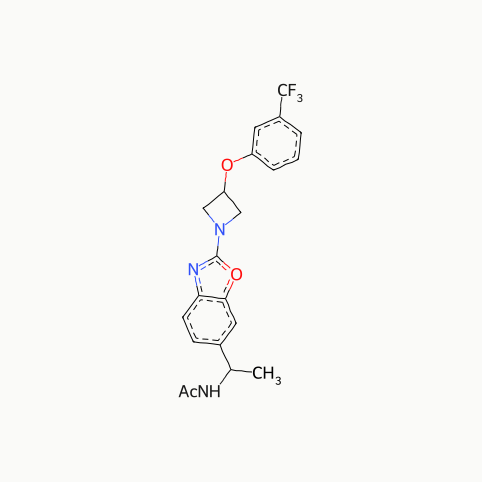 CC(=O)NC(C)c1ccc2nc(N3CC(Oc4cccc(C(F)(F)F)c4)C3)oc2c1